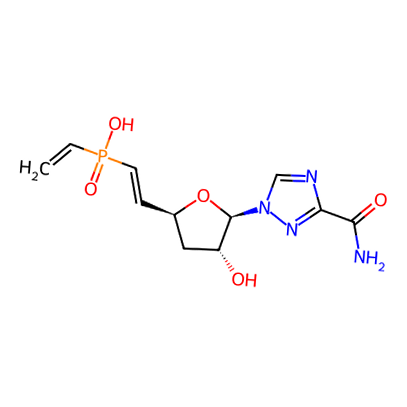 C=CP(=O)(O)/C=C/[C@@H]1C[C@@H](O)[C@H](n2cnc(C(N)=O)n2)O1